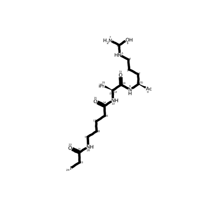 CC(=O)[C@H](CCCNC(N)O)NC(=O)[C@@H](NC(=O)CCCCNC(=O)CI)C(C)C